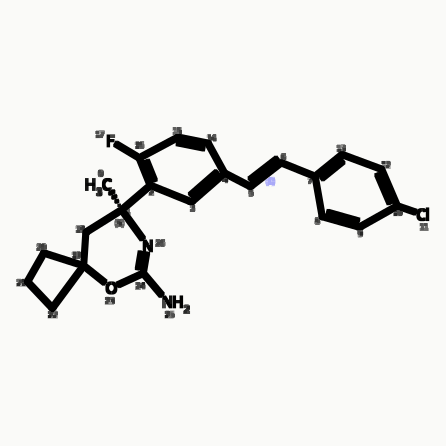 C[C@@]1(c2cc(/C=C/c3ccc(Cl)cc3)ccc2F)CC2(CCC2)OC(N)=N1